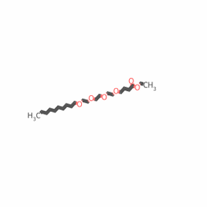 CCCCCCCCCCOCCOCCOCCOCCCC(=O)OCC